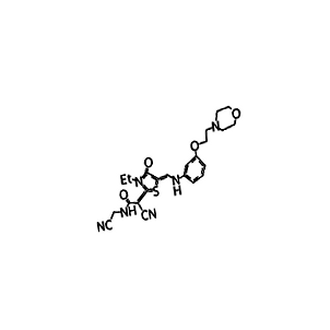 CCn1c(=C(C#N)C(=O)NCC#N)sc(=CNc2cccc(OCCN3CCOCC3)c2)c1=O